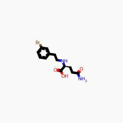 NC(=O)CC[C@H](NCCc1cccc(Br)c1)C(=O)O